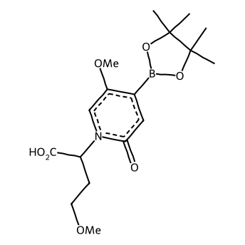 COCCC(C(=O)O)n1cc(OC)c(B2OC(C)(C)C(C)(C)O2)cc1=O